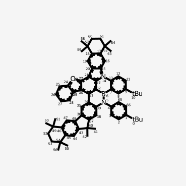 CC(C)(C)c1ccc(N2B3c4cc(C(C)(C)C)ccc4-n4c5cc6c(cc5c5c7oc8ccccc8c7c(c3c54)-c3cc4c(cc32)C(C)(C)c2cc3c(cc2-4)C(C)(C)CCC3(C)C)C(C)(C)CCC6(C)C)cc1